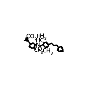 Cc1cc(CCCc2ccccc2)cc(C)c1C(=O)Nc1cc(C2C[C@H]2C(=O)O)ccc1C(F)(F)F